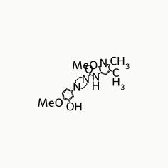 COc1ccc(N2CCN(C(=O)Nc3cc(C)c(C)nc3OC)CC2)cc1O